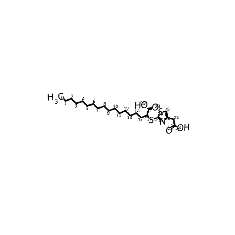 CCCCCCCCCCCCCCCCC(Sc1nc(CC(=O)O)cs1)C(=O)O